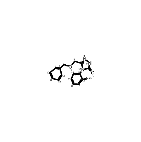 O=c1[nH]nc(COCc2ccccc2)n1-c1ccccc1F